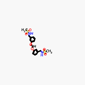 CS(=O)(=O)NCc1cccc(OBOc2cccc(CNS(C)(=O)=O)c2)c1